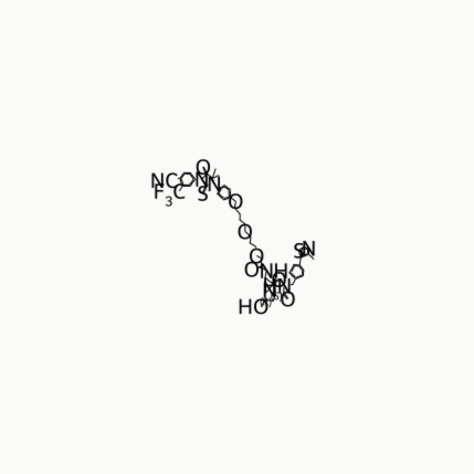 Cc1ncsc1-c1ccc(CNC(=O)[C@@H]2C[C@@H](O)CN2C(=O)CNC(=O)COCCCOCCCCOc2ccc(N3C(=S)N(c4ccc(C#N)c(C(F)(F)F)c4)C(=O)C3(C)C)cc2)cc1